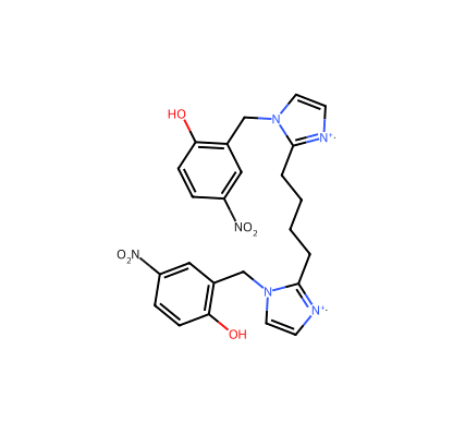 O=[N+]([O-])c1ccc(O)c(CN2C=C[N+]=C2CCCCC2=[N+]C=CN2Cc2cc([N+](=O)[O-])ccc2O)c1